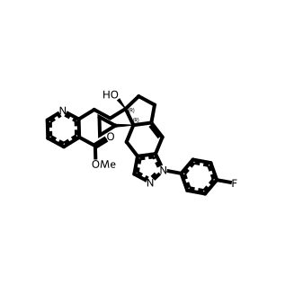 COC(=O)c1cccnc1CC[C@]1(O)CCC2=Cc3c(cnn3-c3ccc(F)cc3)C[C@@]21C1CC1